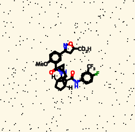 COc1ccc(C2=NOC(C(=O)O)C2)cc1C(=O)N[C@H]1[C@@H](C(=O)Nc2ccc(F)c(C(F)(F)F)c2)[C@H]2CC[C@@H]1/C2=C\C1CC1